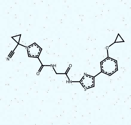 N#CC1(n2ccc(C(=O)NCC(=O)Nc3nc(-c4cccc(OC5CC5)c4)cs3)c2)CC1